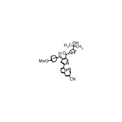 COC12CCC(Nc3cc(-c4ccc5cc(C#N)cnn45)ncc3C(=O)NCC(F)C(C)(C)O)(CC1)CC2